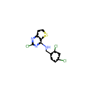 Clc1ccc(CNc2nc(Cl)nc3ccsc23)c(Cl)c1